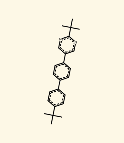 CC(C)(C)c1ccc(-c2ccc(-c3cnc(C(C)(C)C)nc3)cc2)cc1